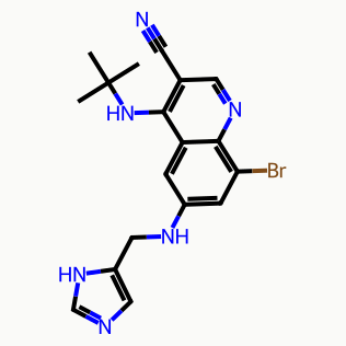 CC(C)(C)Nc1c(C#N)cnc2c(Br)cc(NCc3cnc[nH]3)cc12